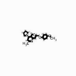 COc1ccc(OCc2ccc3c(N4CCCC4)cc(C)nc3c2)cc1